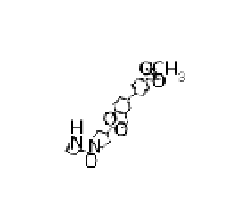 CS(=O)(=O)c1ccc(-c2ccc3c(c2)COC(C2CCN(C(=O)C4CC=CN4)CC2)O3)cc1